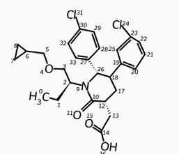 CC[C@@H](COCC1CC1)N1C(=O)[C@@H](CC(=O)O)CC(c2cccc(Cl)c2)[C@H]1c1ccc(Cl)cc1